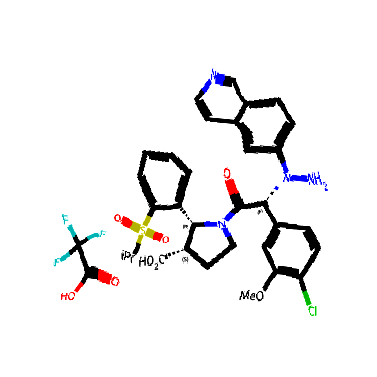 COc1cc([C@H](C(=O)N2CC[C@H](C(=O)O)[C@@H]2c2ccccc2S(=O)(=O)C(C)C)N(N)c2ccc3cnccc3c2)ccc1Cl.O=C(O)C(F)(F)F